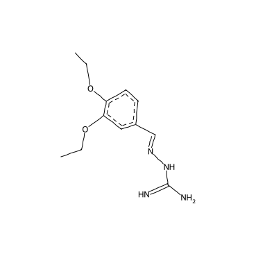 CCOc1ccc(C=NNC(=N)N)cc1OCC